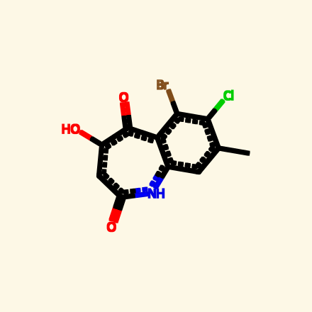 Cc1cc2[nH]c(=O)cc(O)c(=O)c2c(Br)c1Cl